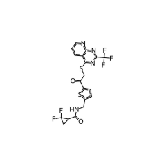 O=C(CSc1nc(C(F)(F)F)nc2ncccc12)c1ccc(CNC(=O)C2CC2(F)F)s1